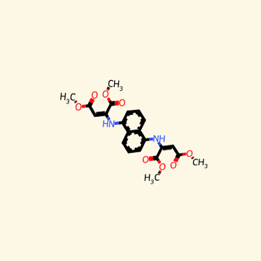 COC(=O)/C=C(/Nc1cccc2c(N/C(=C/C(=O)OC)C(=O)OC)cccc12)C(=O)OC